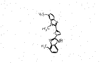 Cc1ccc2nc(-c3ccc(-c4nc5c(C)cccc5[nH]4)o3)n(C)c2c1